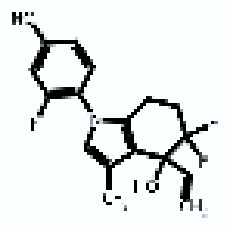 C=CC1(O)c2c(C(F)(F)F)cn(-c3ccc(C#N)cc3F)c2CCC1(F)F